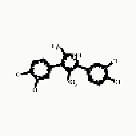 O=[N+]([O-])c1c(-c2ccc(Cl)c(Cl)c2)[nH]c(C(F)(F)F)c1-c1ccc(Cl)c(Cl)c1